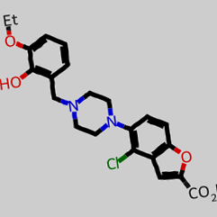 CCOc1cccc(CN2CCN(c3ccc4oc(C(=O)O)cc4c3Cl)CC2)c1O